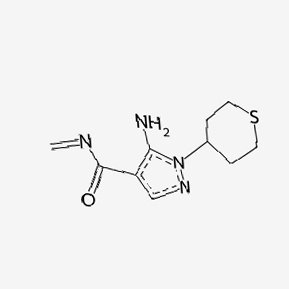 C=NC(=O)c1cnn(C2CCSCC2)c1N